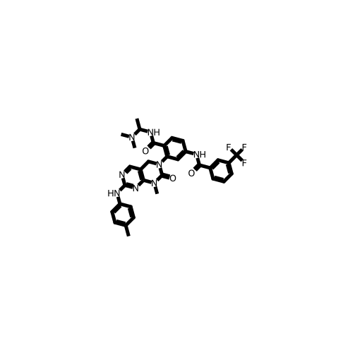 Cc1ccc(Nc2ncc3c(n2)N(C)C(=O)N(c2cc(NC(=O)c4cccc(C(F)(F)F)c4)ccc2C(=O)NC(C)N(C)C)C3)cc1